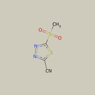 CS(=O)(=O)c1nnc(C#N)s1